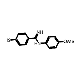 COc1ccc(NC(=N)c2ccc(S)cc2)cc1